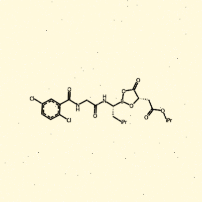 CC(C)C[C@H](NC(=O)CNC(=O)c1cc(Cl)ccc1Cl)B1OC(=O)[C@H](CC(=O)OC(C)C)O1